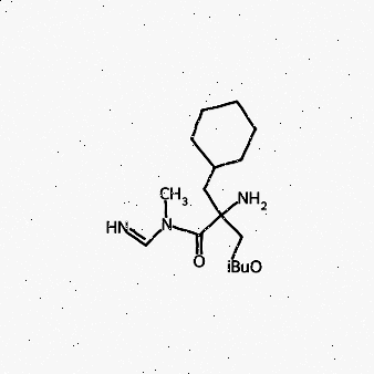 CC(C)COCC(N)(CC1CCCCC1)C(=O)N(C)C=N